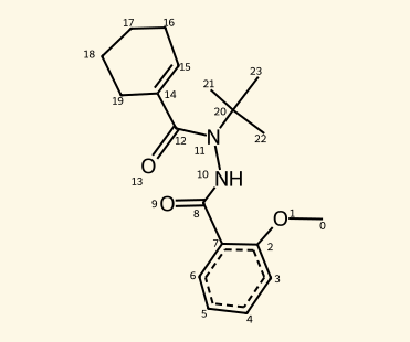 COc1ccccc1C(=O)NN(C(=O)C1=CCCCC1)C(C)(C)C